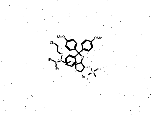 B[C@@H]1O[C@H](COP(OCC[N+]#[C-])N(C(C)C)C(C)C)C(OC(c2ccccc2)(c2ccc(OC)cc2)c2ccc(OC)cc2)[C@@H]1O[Si](C)(C)C(C)(C)C